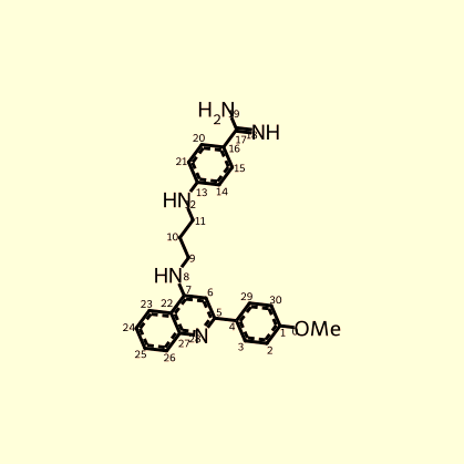 COc1ccc(-c2cc(NCCCNc3ccc(C(=N)N)cc3)c3ccccc3n2)cc1